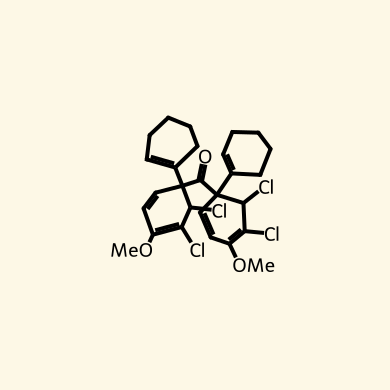 COC1=C(Cl)C(Cl)C(C(=O)C2(C3=CCCCC3)C=CC(OC)=C(Cl)C2Cl)(C2=CCCCC2)C=C1